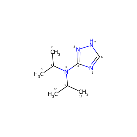 CC(C)N(c1nc[nH]n1)C(C)C